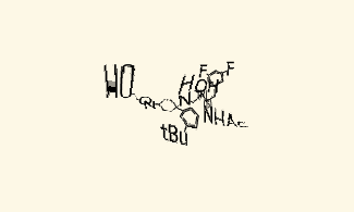 CC(=O)N[C@@H](Cc1cc(F)cc(F)c1)[C@H](O)CNC1(c2cccc(C(C)(C)C)c2)CCC(=NOCCO)CC1